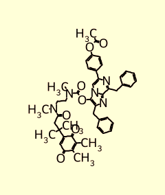 CC(=O)Oc1ccc(-c2cn3c(OC(=O)N(C)CCN(C)C(=O)CC(C)(C)C4=CC(=O)C(C)=C(C)C4=O)c(Cc4ccccc4)nc3c(Cc3ccccc3)n2)cc1